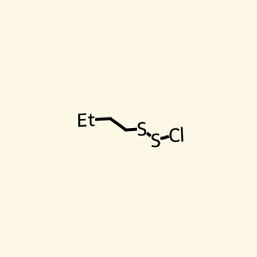 CCCCSSCl